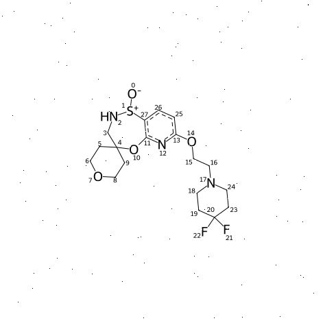 [O-][S+]1NCC2(CCOCC2)Oc2nc(OCCN3CCC(F)(F)CC3)ccc21